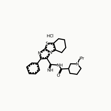 CC(C)N1CCCC(C(=O)NC(=N)c2c(-c3ccccc3)nc3sc4c(n23)CCCC4)C1.Cl